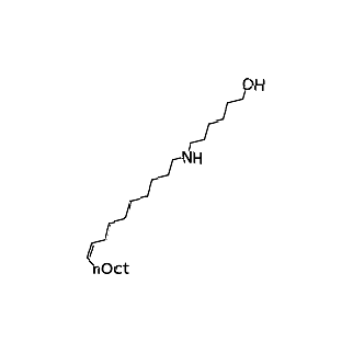 CCCCCCCC/C=C\CCCCCCCCNCCCCCCO